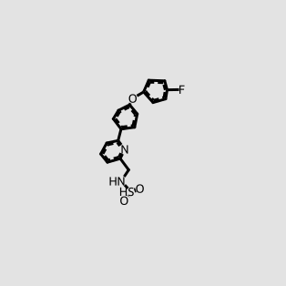 O=[SH](=O)NCc1cccc(-c2ccc(Oc3ccc(F)cc3)cc2)n1